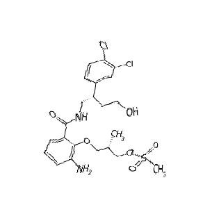 C[C@@H](COc1c(N)cccc1C(=O)NC[C@@H](CCO)c1ccc(Cl)c(Cl)c1)COS(C)(=O)=O